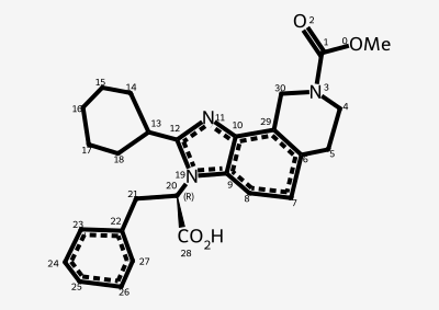 COC(=O)N1CCc2ccc3c(nc(C4CCCCC4)n3[C@H](Cc3ccccc3)C(=O)O)c2C1